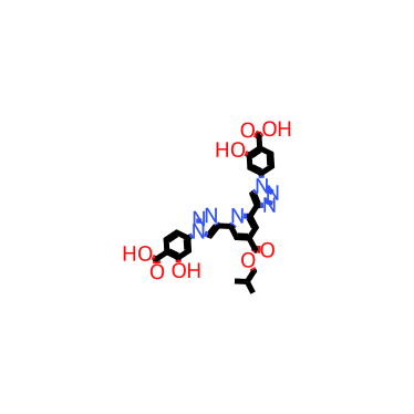 CC(C)COC(=O)c1cc(-c2cn(-c3ccc(C(=O)O)c(O)c3)nn2)nc(-c2cn(-c3ccc(C(=O)O)c(O)c3)nn2)c1